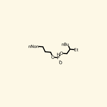 CCCCCCCCCCCCO[PH](=O)OCC(CC)CCCC